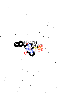 CC(C)(C)NC(=O)C(CNC(=O)C1CCCCN1C(=O)CSCP(=O)(O)O)c1ccc2ccccc2c1